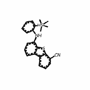 C[SH](C)(C)(C)c1ccccc1Nc1cccc2c1sc1c(C#N)cccc12